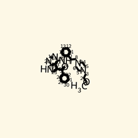 COCCN1CCN(CCc2ccccc2Nc2ncnc3[nH]cc(C(=O)c4ccccc4)c23)CC1